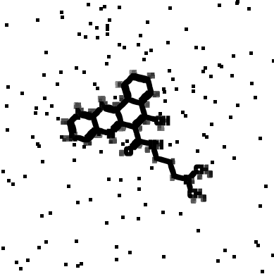 CN(C)CCCNC(=O)c1c(O)c2ccccc2c2nc3ncncc3nc12